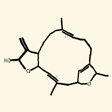 C=C1C(O)OC2/C=C(\C)CC3C=C(CC/C=C(\C)CCC12)C(C)O3